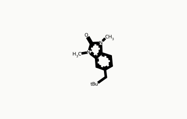 Cn1c(=O)n(C)c2cc(CC(C)(C)C)ccc21